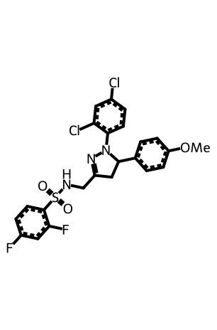 COc1ccc(C2CC(CNS(=O)(=O)c3ccc(F)cc3F)=NN2c2ccc(Cl)cc2Cl)cc1